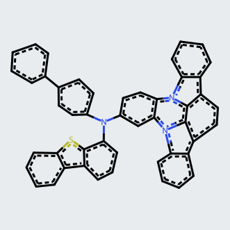 c1ccc(-c2ccc(N(c3ccc4c(c3)n3c5ccccc5c5ccc6c7ccccc7n4c6c53)c3cccc4c3sc3ccccc34)cc2)cc1